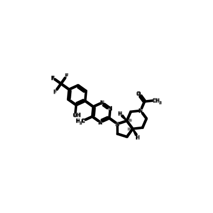 CC(=O)N1CC[C@@H]2CCN(c3nnc(-c4ccc(C(F)(F)F)cc4O)c(C)n3)[C@@H]2C1